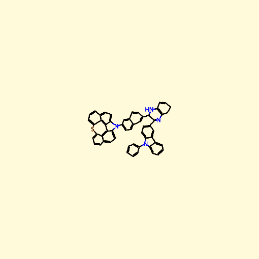 C1=CC2=C(CC1)N=C(c1ccc3c(c1)c1ccccc1n3-c1ccccc1)C(c1ccc3cc(-n4c5ccc6cccc7sc8cccc9ccc4c(c98)c5c67)ccc3c1)N2